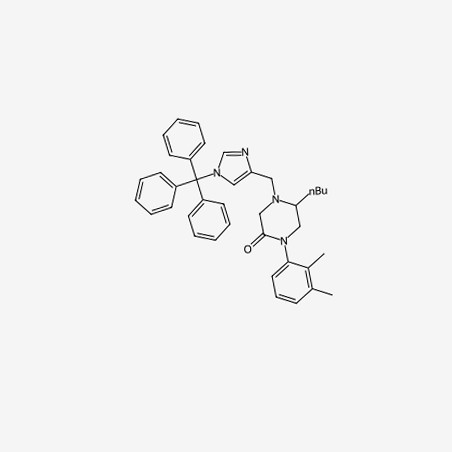 CCCCC1CN(c2cccc(C)c2C)C(=O)CN1Cc1cn(C(c2ccccc2)(c2ccccc2)c2ccccc2)cn1